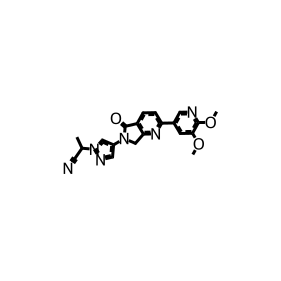 COc1cc(-c2ccc3c(n2)CN(c2cnn(C(C)C#N)c2)C3=O)cnc1OC